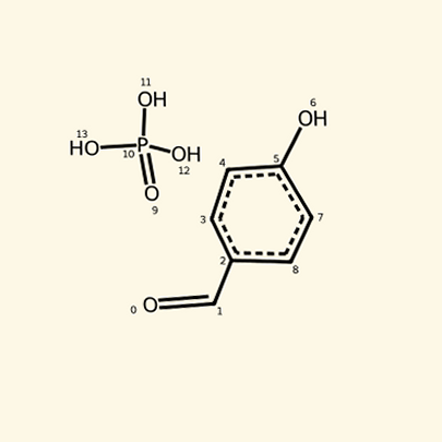 O=Cc1ccc(O)cc1.O=P(O)(O)O